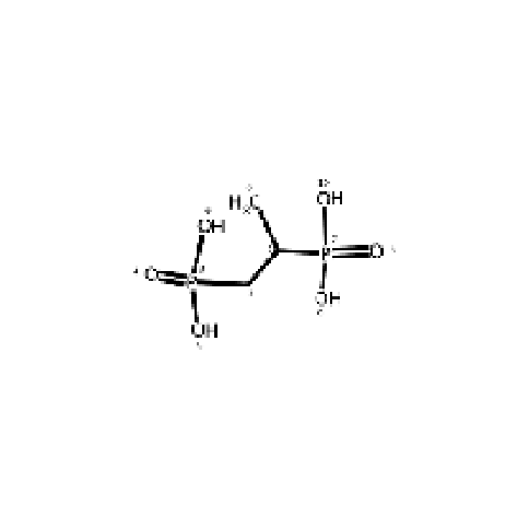 C[C](CP(=O)(O)O)P(=O)(O)O